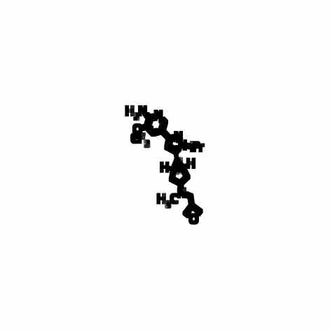 CC(C)n1nc(-c2cnc(N)c(OC(F)(F)F)c2)cc1[C@H]1[C@@H]2CC(N(C)CC3COC3)C[C@@H]21